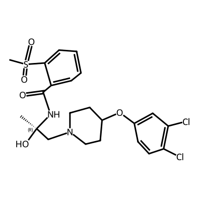 C[C@@](O)(CN1CCC(Oc2ccc(Cl)c(Cl)c2)CC1)NC(=O)c1ccccc1S(C)(=O)=O